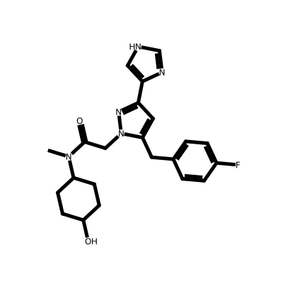 CN(C(=O)Cn1nc(-c2c[nH]cn2)cc1Cc1ccc(F)cc1)C1CCC(O)CC1